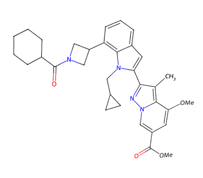 COC(=O)c1cc(OC)c2c(C)c(-c3cc4cccc(C5CN(C(=O)C6CCCCC6)C5)c4n3CC3CC3)nn2c1